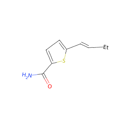 CC/C=C/c1ccc(C(N)=O)s1